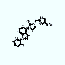 CC(C)(C)c1cnc(CN2CCN(c3cccc4c3cnn4-c3ccccc3F)C2=O)o1